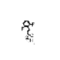 COC(=O)C=Cc1c(F)cccc1F